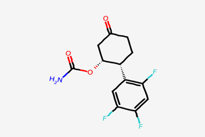 NC(=O)O[C@@H]1CC(=O)CC[C@@H]1c1cc(F)c(F)cc1F